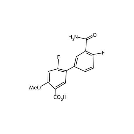 COc1cc(F)c(-c2ccc(F)c(C(N)=O)c2)cc1C(=O)O